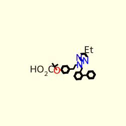 CCc1cnc(N(CCc2ccc(OC(C)(C)C(=O)O)cc2)Cc2ccccc2-c2ccccc2)nc1